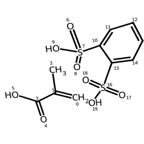 C=C(C)C(=O)O.O=S(=O)(O)c1ccccc1S(=O)(=O)O